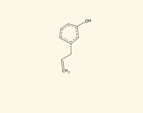 C=CCc1cccc(O)c1